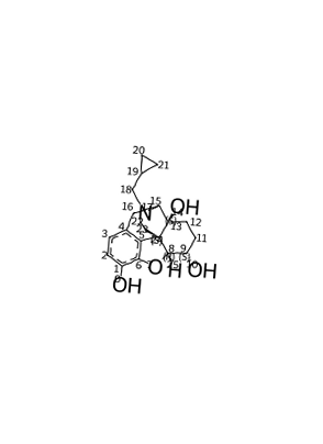 Oc1ccc2c3c1O[C@H]1[C@@H](O)CC[C@@]4(O)C(C2)N(CC2CC2)CC[C@]314